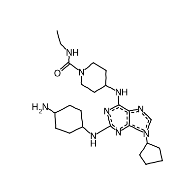 CCNC(=O)N1CCC(Nc2nc(NC3CCC(N)CC3)nc3c2ncn3C2CCCC2)CC1